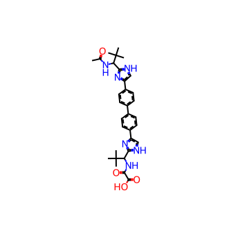 CC(=O)NC(c1nc(-c2ccc(-c3ccc(-c4c[nH]c(C(NC(=O)C(=O)O)C(C)(C)C)n4)cc3)cc2)c[nH]1)C(C)(C)C